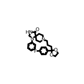 O=C1NCN(c2ccccc2)C12CCN(CCCC1(c3ccc(F)cc3)OCCO1)CC2